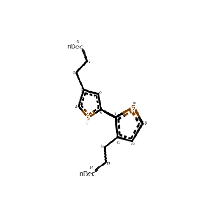 CCCCCCCCCCCCc1[c]sc(-c2sccc2CCCCCCCCCCCC)c1